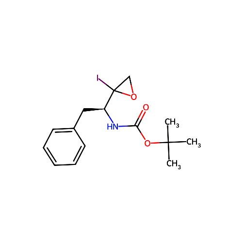 CC(C)(C)OC(=O)N[C@@H](Cc1ccccc1)C1(I)CO1